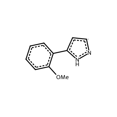 COc1ccccc1-c1c[c]n[nH]1